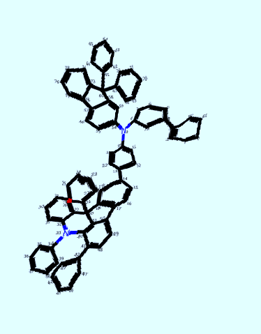 c1ccc(-c2cccc(N(c3ccc(-c4ccc5c(c4)C4(c6ccccc6)c6ccccc6N(c6ccccc6)c6c(-c7ccccc7)ccc-5c64)cc3)c3ccc4c(c3)C(c3ccccc3)(c3ccccc3)c3ccccc3-4)c2)cc1